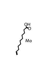 C=CCCCCCCCCC(=O)O.[Mo]